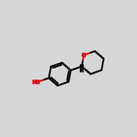 Oc1ccc([SiH]2CCCCO2)cc1